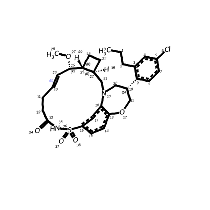 CCCc1cc(Cl)ccc1[C@@H]1COc2ccc3cc2N(C1)C[C@@H]1CC[C@H]1[C@@H](OC)/C=C/CCC(=O)NS3(=O)=O